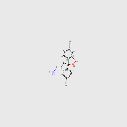 CNCCCC1(c2ccc(F)cc2)OCc2cc(F)ccc21